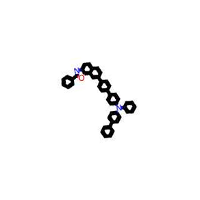 c1ccc(-c2ccc(N(c3ccccc3)c3ccc(-c4ccc(-c5ccc6ccc7nc(-c8ccccc8)oc7c6c5)cc4)cc3)cc2)cc1